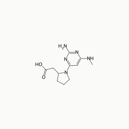 CNc1cc(N2CCCC2CC(=O)O)nc(N)n1